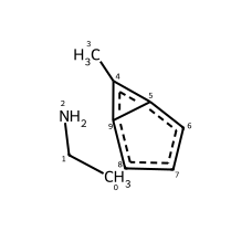 CCN.Cc1c2cccc1-2